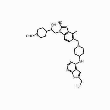 Cc1c(CN2CCC(Nc3ncnc4sc(CC(F)(F)F)cc34)CC2)ccc2c1cc(C#N)n2CC(O)C1CCN(C=O)CC1